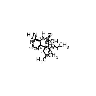 CCOC(=O)C(C)(CC(C)C)c1ncnc(N)c1NS(=O)(=O)O